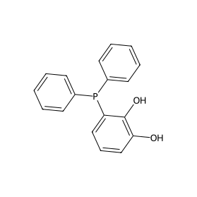 Oc1cccc(P(c2ccccc2)c2ccccc2)c1O